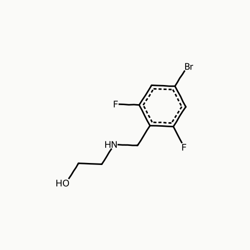 OCCNCc1c(F)cc(Br)cc1F